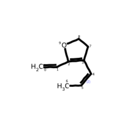 C=CC1=C(/C=C\C)CCO1